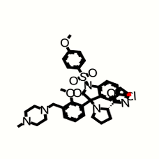 COc1ccc(S(=O)(=O)N2C(=O)C(c3cccc(CN4CCN(C)CC4)c3OC)(N3CCC[C@H]3c3ncco3)c3cc(Cl)ccc32)cc1